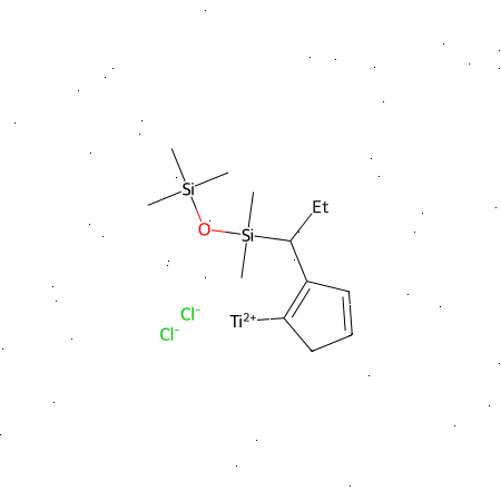 CCC(C1=[C]([Ti+2])CC=C1)[Si](C)(C)O[Si](C)(C)C.[Cl-].[Cl-]